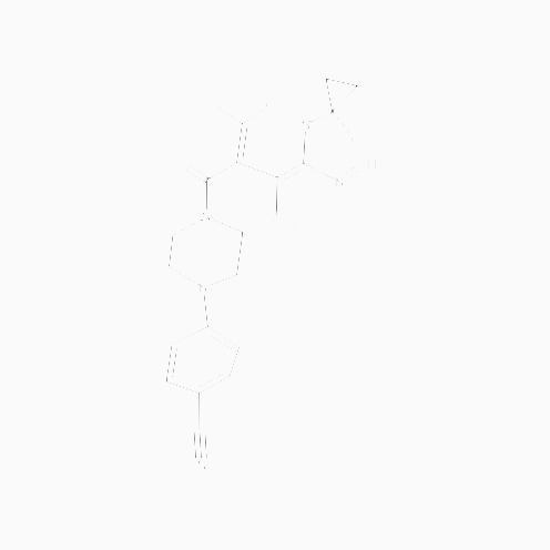 C=N/C(NC1(C)CC1)=C(\C)C(C(=O)N1CCN(c2ccc(C#N)cc2)CC1)=C(C)C